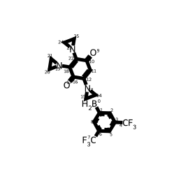 Bc1cc(C(F)(F)F)cc(C(F)(F)F)c1.O=C1C=C(N2CC2)C(=O)C(N2CC2)=C1N1CC1